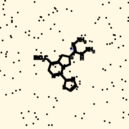 CCOC(=O)C1=C2C[C@@H](/C(=N/N)NN)CN2C(c2nccs2)=NC1